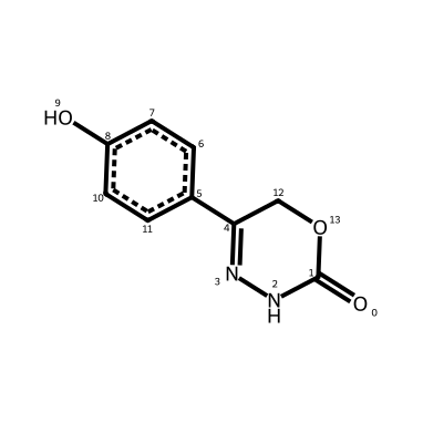 O=C1NN=C(c2ccc(O)cc2)CO1